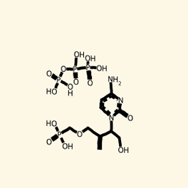 C=C(COCP(=O)(O)O)C(CO)n1ccc(N)nc1=O.O=P(O)(O)OP(=O)(O)P(=O)(O)O